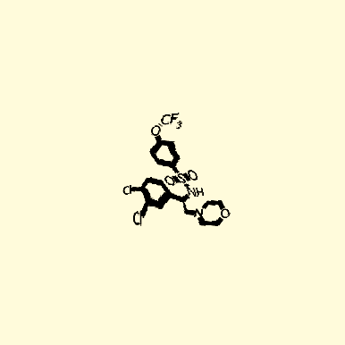 O=S(=O)(N[C@@H](CN1CCOCC1)c1ccc(Cl)c(Cl)c1)c1ccc(OC(F)(F)F)cc1